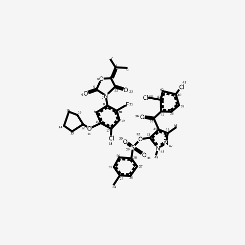 CC(C)=C1OC(=O)N(c2cc(OC3CCCC3)c(Cl)cc2F)C1=O.Cc1ccc(S(=O)(=O)Oc2c(C(=O)c3ccc(Cl)cc3Cl)c(C)nn2C)cc1